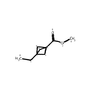 CCC12CC(C(=O)OC)(C1)C2